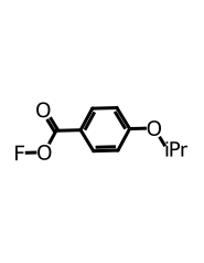 CC(C)Oc1ccc(C(=O)OF)cc1